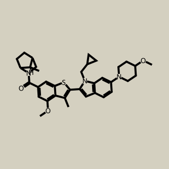 COc1cc(C(=O)N2CC3CCC2[C@@H]3C)cc2sc(-c3cc4ccc(N5CCC(OC)CC5)cc4n3CC3CC3)c(C)c12